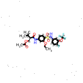 CCOc1cc(NC(=O)[C@@H](COC(C)=O)C(C)C)ccc1S(=O)(=O)Nc1ccc(F)c(OC(F)(F)F)c1